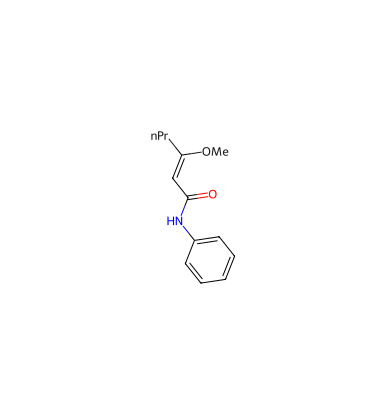 CCC/C(=C/C(=O)Nc1ccccc1)OC